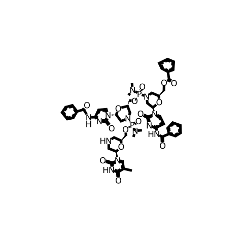 Cc1cn([C@H]2CNC[C@@H](CO[P@@](=O)(N(C)C)N3C[C@@H](CO[P@@](=O)(N(C)C)N4C[C@@H](COC(=O)c5ccccc5)O[C@@H](n5ccc(NC(=O)c6ccccc6)nc5=O)C4)O[C@@H](n4ccc(NC(=O)c5ccccc5)nc4=O)C3)O2)c(=O)[nH]c1=O